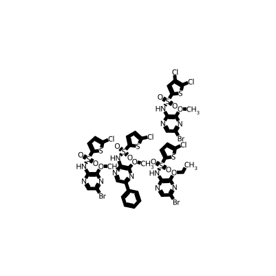 CCOc1nc(Br)cnc1NS(=O)(=O)c1ccc(Cl)s1.COc1nc(-c2ccccc2)cnc1NS(=O)(=O)c1ccc(Cl)s1.COc1nc(Br)cnc1NS(=O)(=O)c1cc(Cl)c(Cl)s1.COc1nc(Br)cnc1NS(=O)(=O)c1ccc(Cl)s1